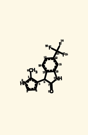 Cc1[nH]ccc1C1C(=O)Nc2cc(C(F)(F)F)ccc21